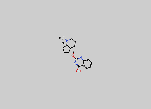 CN1CCC[C@@]2(COc3nc(O)c4ccccc4n3)CCC[C@@H]12